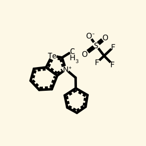 Cc1[te]c2ccccc2[n+]1Cc1ccccc1.O=S(=O)([O-])C(F)(F)F